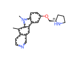 Cc1c2ccncc2cc2c3cc(OC[C@H]4CCCN4)ccc3n(C)c12